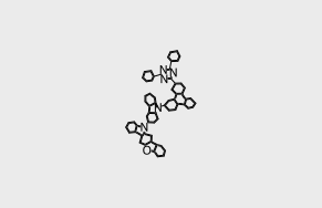 c1ccc(-c2nc(-c3ccccc3)nc(-c3ccc4c5ccccc5c5ccc(-n6c7ccccc7c7cc(-n8c9ccccc9c9cc%10oc%11ccccc%11c%10cc98)ccc76)cc5c4c3)n2)cc1